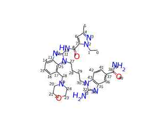 CCn1nc(C)cc1C(=O)Nc1nc2cccc(CN3CCOCC3)c2n1CCCCn1c(N)nc2cc(C(N)=O)ccc21